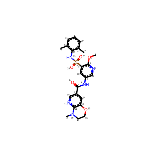 COc1ncc(NC(=O)c2cnc3c(c2)OCCN3C)cc1S(=O)(=O)Nc1c(C)cccc1C